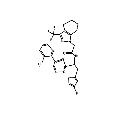 Cc1ccccc1-c1ccnc(C(CC2=CC(F)=CC2)NC(=O)Cn2nc(C(F)(F)F)c3c2CCCC3)n1